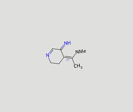 CN/C(C)=C1/CCN=CC1=N